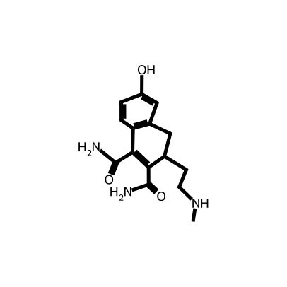 CNCCC1Cc2cc(O)ccc2C(C(N)=O)=C1C(N)=O